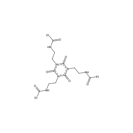 CCC(=O)NCCn1c(=O)n(CCNC(=O)CC)c(=O)n(CCNC(=O)CC)c1=O